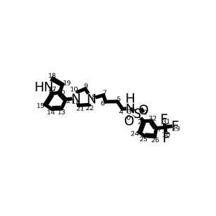 O=S(=O)(NCCCCN1CCN(c2cccc3[nH]ccc23)CC1)c1cccc(C(F)(F)F)c1